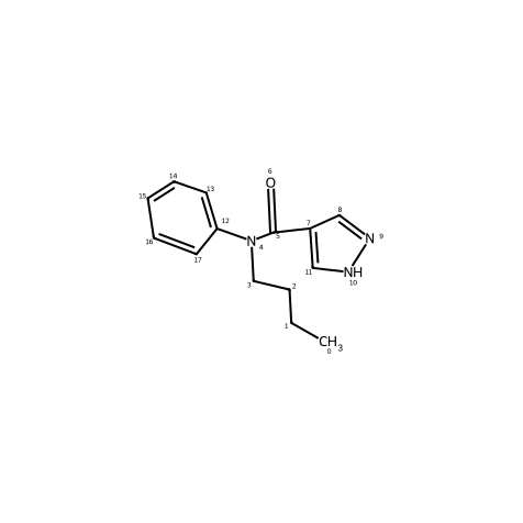 CCCCN(C(=O)c1cn[nH]c1)c1ccccc1